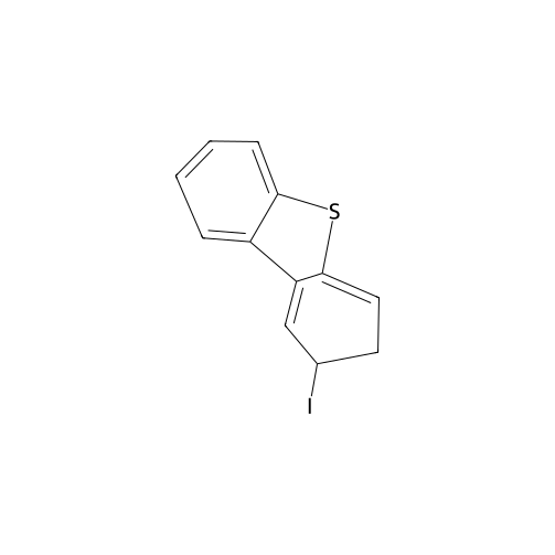 IC1C=c2c(sc3ccccc23)=CC1